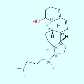 CC(C)CCC[C@@H](C)[C@H]1CC[C@H]2[C@@H]3C=CC4=CCCC(O)[C@]4(C)[C@H]3CC[C@]12C